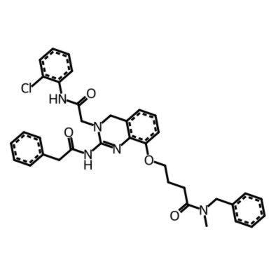 CN(Cc1ccccc1)C(=O)CCCOc1cccc2c1N=C(NC(=O)Cc1ccccc1)N(CC(=O)Nc1ccccc1Cl)C2